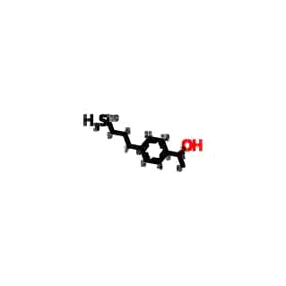 CC(O)c1ccc(CCC[SiH3])cc1